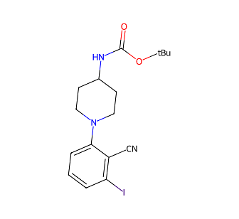 CC(C)(C)OC(=O)NC1CCN(c2cccc(I)c2C#N)CC1